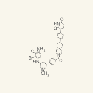 CN1C[C@H](Nc2ccn(C)c(=O)c2Br)C[C@H](c2ccc(C(=O)N3CCC4(CCC(c5ccc(C6CCC(=O)NC6=O)cc5)CC4)CC3)cc2)C1